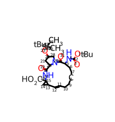 CC(C)(C)OC(=O)NC1CCCCC/C=C/C2CC2(C(=O)O)NC(=O)C2CC(O[Si](C)(C)C(C)(C)C)CN2C1=O